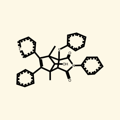 CC12C(c3ccccc3)=C(c3ccccc3)C(C)(C1O)C1(Sc3ccccc3)C(=O)N(c3ccccc3)C(=O)C21